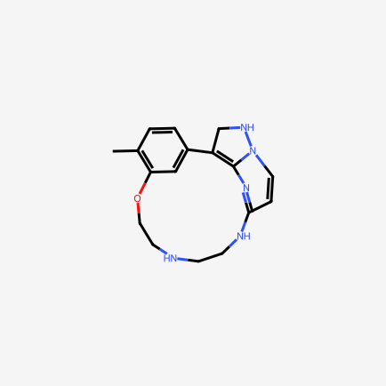 Cc1ccc2cc1OCCNCCNC1=NC3=C2CNN3C=C1